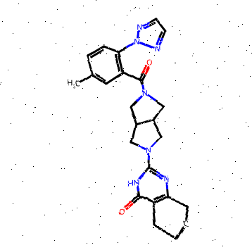 Cc1ccc(-n2nccn2)c(C(=O)N2CC3CN(c4nc5c(c(=O)[nH]4)CCCC5)CC3C2)c1